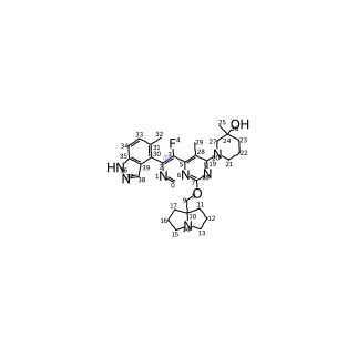 C=N/C(=C(/F)c1nc(OCC23CCCN2CCC3)nc(N2CCCC(C)(O)C2)c1C)c1c(C)ccc2[nH]ncc12